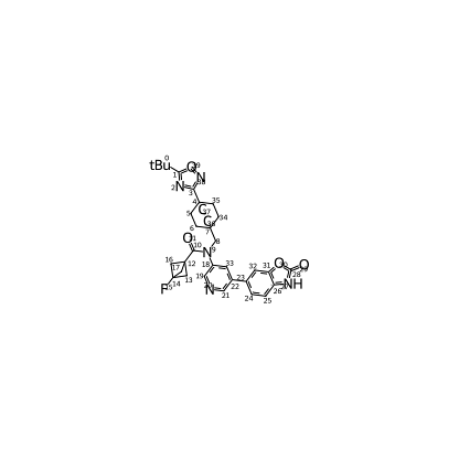 CC(C)(C)c1nc(C23CCC(CN(C(=O)C45CC(F)(C4)C5)c4cncc(-c5ccc6[nH]c(=O)oc6c5)c4)(CC2)CC3)no1